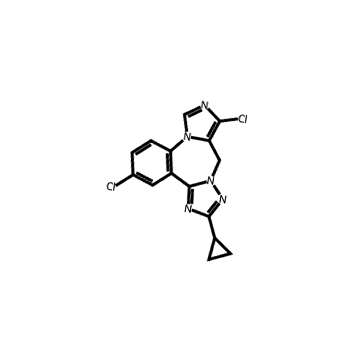 Clc1ccc2c(c1)-c1nc(C3CC3)nn1Cc1c(Cl)ncn1-2